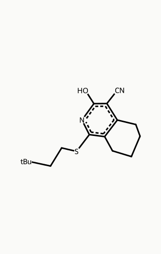 CC(C)(C)CCSc1nc(O)c(C#N)c2c1CCCC2